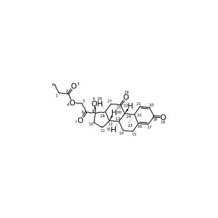 CCC(=O)OCC(=O)[C@@]1(O)CC[C@H]2[C@@H]3CCC4=CC(=O)C=C[C@]4(C)[C@H]3C(=O)C[C@@]21C